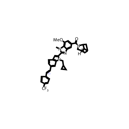 COc1cc(C(=O)N2C[C@H]3CC4CC2[C@H]43)cc2nc(-c3cc4ccc(/C=C/c5ccc(C(F)(F)F)cc5)cc4n3CC3CC3)n(C)c12